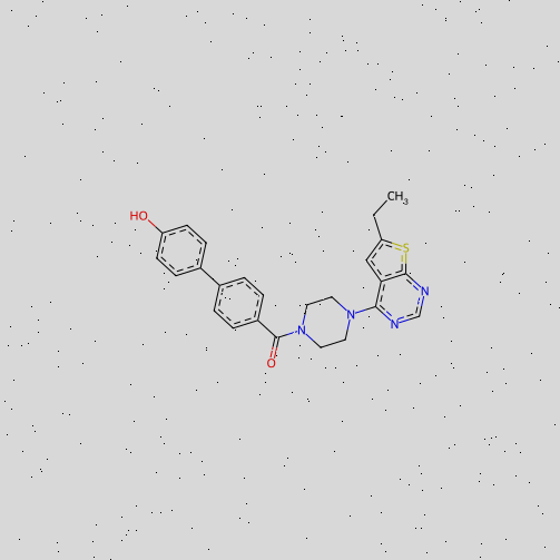 CCc1cc2c(N3CCN(C(=O)c4ccc(-c5ccc(O)cc5)cc4)CC3)ncnc2s1